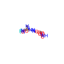 O=C1CCC(N2C(=O)c3cccc(OCCOCCCn4cc(CCN5CCC(CNC(=O)c6cccc(-c7noc(C(F)(F)F)n7)c6)(c6nc(-c7ccccc7)cs6)CC5)nn4)c3C2=O)C(=O)N1